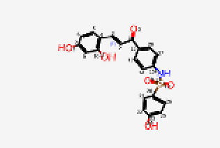 O=C(/C=C/c1ccc(O)cc1O)c1ccc(NS(=O)(=O)c2ccc(O)cc2)cc1